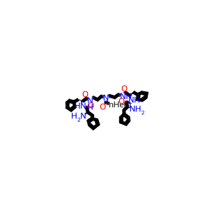 CCCCCCCC(=O)N(CCCNC(=O)[C@@H](Cc1ccccc1)NC(=O)[C@H](N)Cc1ccccc1)CCCNC(=O)[C@@H](Cc1ccccc1)NC(=O)[C@H](N)Cc1ccccc1